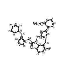 COc1ccccc1-c1cn2c(n1)CN(C(=O)Cc1cncn1Cc1ccccc1)c1cccc(F)c1C2